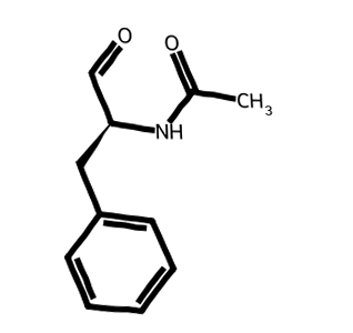 CC(=O)N[C@H](C=O)Cc1ccccc1